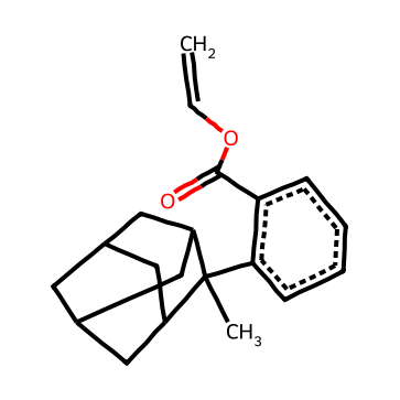 C=COC(=O)c1ccccc1C1(C)C2CC3CC(C2)CC1C3